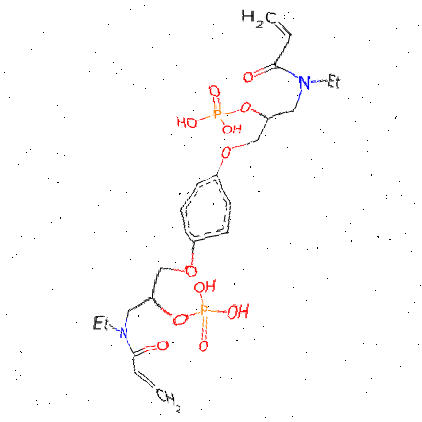 C=CC(=O)N(CC)CC(COc1ccc(OCC(CN(CC)C(=O)C=C)OP(=O)(O)O)cc1)OP(=O)(O)O